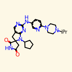 CC(C)N1CCN(c2ccc(Nc3ncc4c(n3)N(C3CCCC3)C3(CC(=O)NC3=O)C4)cn2)CC1